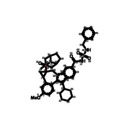 COc1ccc2c(c1)C1CC1(C(=O)N1C3CCC1CN(C)C3)Cn1c-2c(C2CCCCC2)c2ccc(C(=O)NS(=O)(=O)NCc3ccccc3)cc21